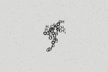 Cc1c(N(C(=O)c2cc(-c3cc4c(cc3C(=O)N3Cc5ccccc5C[C@H]3CN3CCCCC3)CN(C(=O)Cc3ccc(OCCN5CCOCC5)cc3Cl)CC4)n(C)c2C)c2ccc(O)cc2)cc(C#N)n1C